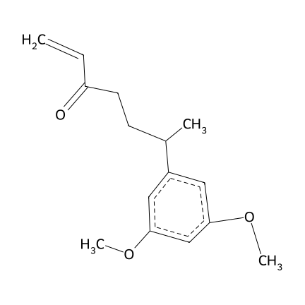 C=CC(=O)CCC(C)c1cc(OC)cc(OC)c1